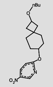 CCCCOC1CC2(CCC(Oc3ccc([N+](=O)[O-])cn3)CC2)C1